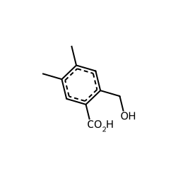 Cc1cc(CO)c(C(=O)O)cc1C